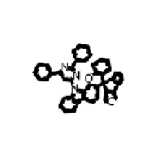 c1ccc(-c2cc(-n3c4ccccc4c4ccc5c(c43)Oc3ccccc3C53c4ccccc4-c4ccccc43)nc(-c3ccccc3)n2)cc1